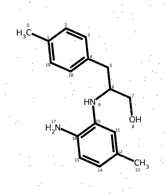 Cc1ccc(CC(CO)Nc2cc(C)ccc2N)cc1